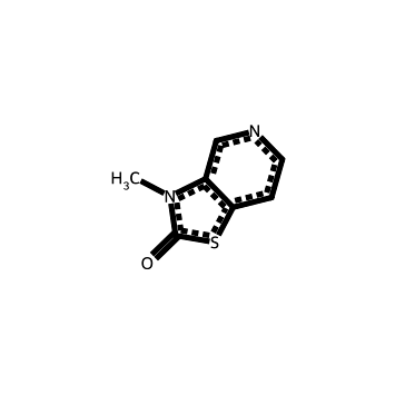 Cn1c(=O)sc2ccncc21